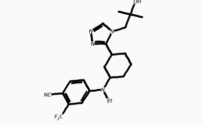 CCN(c1ccc(C#N)c(C(F)(F)F)c1)C1CCCC(c2nncn2CC(C)(C)O)C1